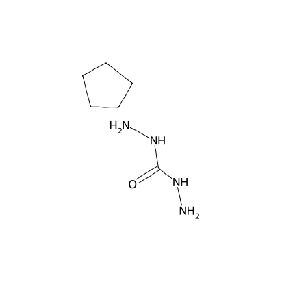 C1CCCC1.NNC(=O)NN